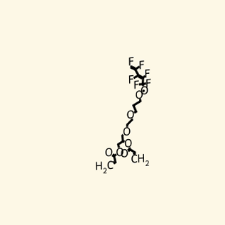 C=CC(=O)OCC(COCCOCCCOOC(F)(F)/C(F)=C(F)/C(F)=C/F)OC(=O)C=C